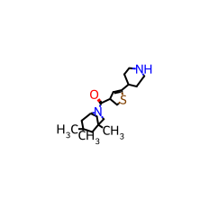 CC1(C)CC2CC(C)(CN2C(=O)C2C=C(C3CCNCC3)SC2)C1